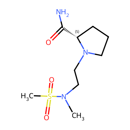 CN(CCN1CCC[C@H]1C(N)=O)S(C)(=O)=O